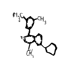 Cc1cc(C)cc(-c2ncc(C)c3cc(C4CCCC4)ccc23)c1